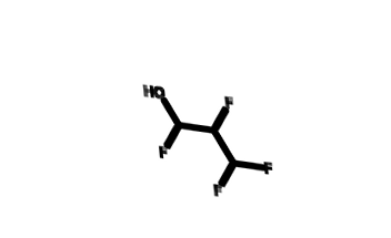 OC(F)C(F)C(F)F